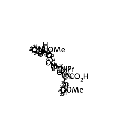 COc1cc(CC(=O)N(CCCN(C(=O)N(CCCOc2ccccc2OC)CCC(=O)O)C(C)C)C(C)C)ccc1NC(=O)Nc1ccccc1C